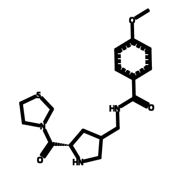 COc1ccc(C(=O)NCC2CN[C@H](C(=O)N3CCSC3)C2)cc1